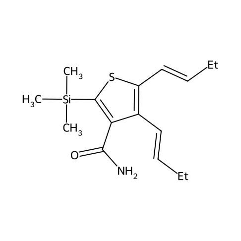 CCC=Cc1sc([Si](C)(C)C)c(C(N)=O)c1C=CCC